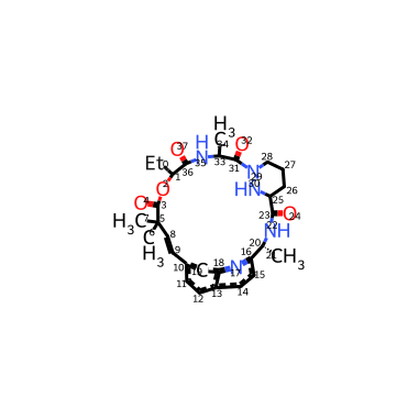 CCC1OC(=O)C(C)(C)/C=C/c2ccc3ccc(nc3c2)[C@@H](C)NC(=O)C2CCCN(N2)C(=O)C(C)NC1=O